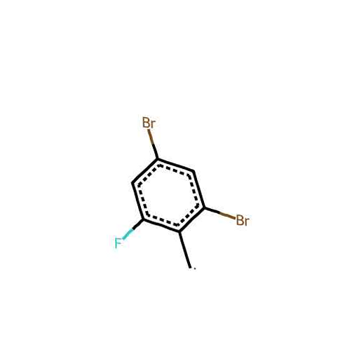 [CH2]c1c(F)cc(Br)cc1Br